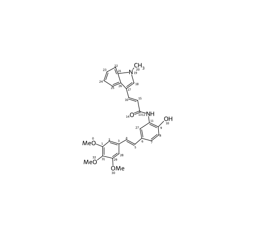 COc1cc(C=Cc2ccc(O)c(NC(=O)/C=C/c3cn(C)c4ccccc34)c2)cc(OC)c1OC